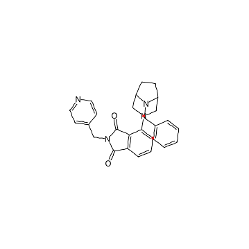 O=C1c2cccc(N3CC4CCC(C3)N4Cc3ccccc3)c2C(=O)N1Cc1ccncc1